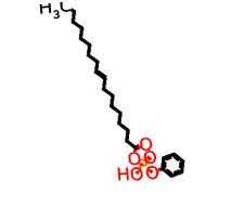 CCCCCCCCC=CCCCCCCCC(=O)OP(=O)(O)Oc1ccccc1